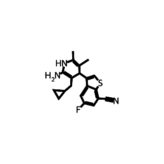 CC1=C(C)C(c2csc3c(C#N)cc(F)cc23)C(CC2CC2)=C(N)N1